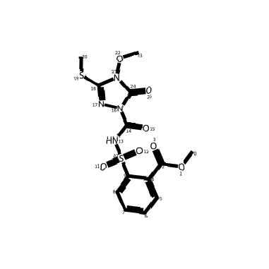 COC(=O)c1ccccc1S(=O)(=O)NC(=O)n1nc(SC)n(OC)c1=O